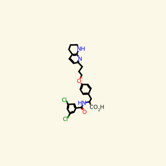 O=C(NC(Cc1ccc(OCCCc2ccc3c(n2)NCCC3)cc1)C(=O)O)c1cc(Cl)cc(Cl)c1